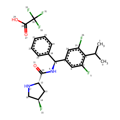 CC(C)c1c(F)cc([C@@H](NC(=O)[C@@H]2C[C@@H](F)CN2)c2ccccc2)cc1F.O=C(O)C(F)(F)F